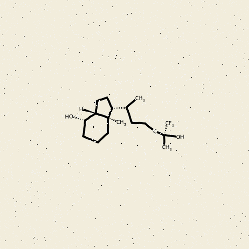 CC(CCC[C@](C)(O)C(F)(F)F)[C@H]1CC[C@H]2[C@@H](O)CCC[C@]12C